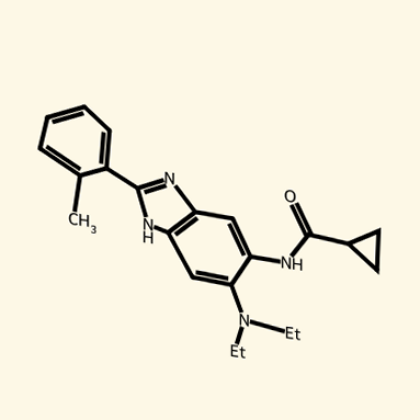 CCN(CC)c1cc2[nH]c(-c3ccccc3C)nc2cc1NC(=O)C1CC1